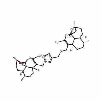 C[C@@H]1CC[C@H]2C(COCc3cn(CC4=C(C(F)(F)F)O[C@@H]5O[C@]6(C)CC[C@H]7[C@H](C)CC[C@@H]4[C@@]57OO6)nn3)=C(C(F)(F)F)O[C@@H]3O[C@]4(C)CC[C@@H]1[C@]32OO4